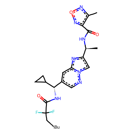 CCC(C)CC(F)(F)C(=O)N[C@@H](c1cnn2cc([C@H](C)NC(=O)c3nonc3C)nc2c1)C1CC1